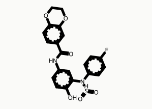 O=C(Nc1ccc(O)c(N(c2ccc(F)cc2)[SH](=O)=O)c1)c1ccc2c(c1)OCCO2